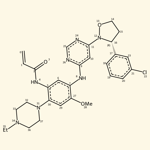 C=CC(=O)Nc1cc(Nc2cc(N3OCC[C@@H]3c3cccc(Cl)c3)ncn2)c(OC)cc1N1CCN(CC)CC1